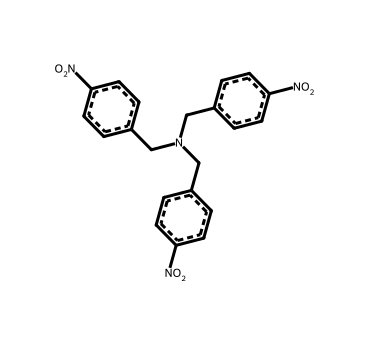 O=[N+]([O-])c1ccc(CN(Cc2ccc([N+](=O)[O-])cc2)Cc2ccc([N+](=O)[O-])cc2)cc1